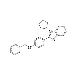 c1ccc(COc2ccc(-c3nc4ccccc4n3C3CCCC3)cc2)cc1